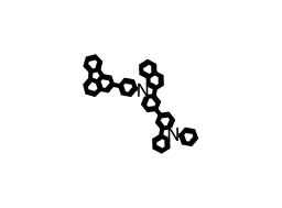 c1ccc(-n2c3ccccc3c3cc(-c4ccc5c(c4)c4ccc6ccccc6c4n5-c4ccc(-c5cc6c7c(cccc7c5)-c5ccccc5-6)cc4)ccc32)cc1